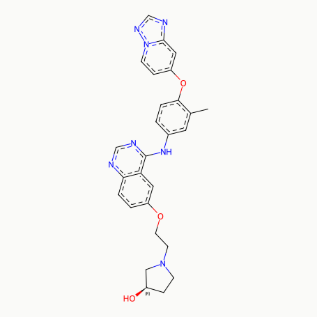 Cc1cc(Nc2ncnc3ccc(OCCN4CC[C@@H](O)C4)cc23)ccc1Oc1ccn2ncnc2c1